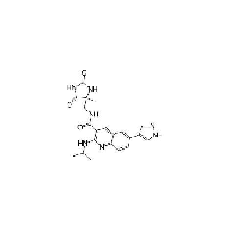 CC(C)Nc1nc2ccc(-c3cn[nH]c3)cc2cc1C(=O)NCC1(C)NC(=O)NC1=O